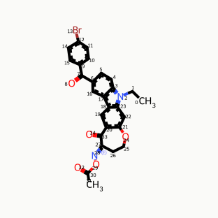 CCn1c2ccc(C(=O)c3ccc(Br)cc3)cc2c2cc3c(cc21)OCC/C(=N\OC(C)=O)C3=O